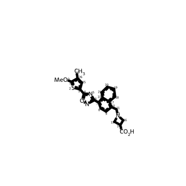 COc1sc(-c2nc(-c3ccc(CN4CC(C(=O)O)C4)c4ccccc34)no2)cc1C